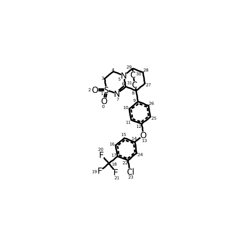 O=S1(=O)CCN2C(=N1)C1(c3ccc(Oc4ccc(C(F)(F)F)c(Cl)c4)cc3)CCC2CC1